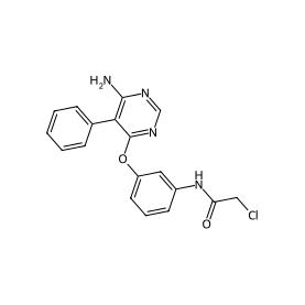 Nc1ncnc(Oc2cccc(NC(=O)CCl)c2)c1-c1ccccc1